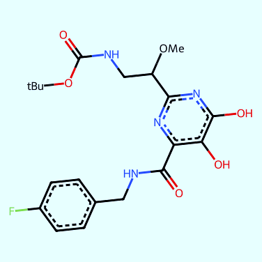 COC(CNC(=O)OC(C)(C)C)c1nc(O)c(O)c(C(=O)NCc2ccc(F)cc2)n1